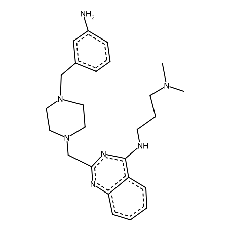 CN(C)CCCNc1nc(CN2CCN(Cc3cccc(N)c3)CC2)nc2ccccc12